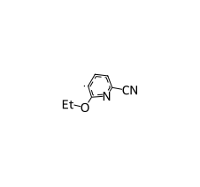 CCOc1[c]ccc(C#N)n1